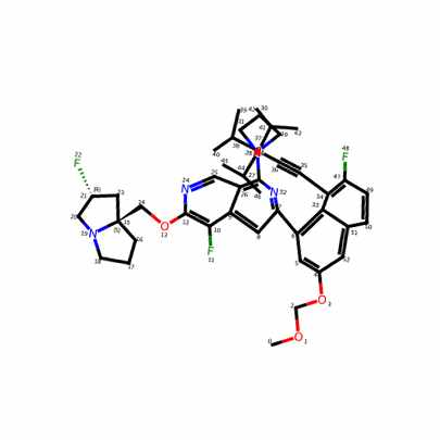 COCOc1cc(-c2cc3c(F)c(OC[C@@]45CCCN4C[C@H](F)C5)ncc3c(N3CCC3)n2)c2c(C#C[Si](C(C)C)(C(C)C)C(C)C)c(F)ccc2c1